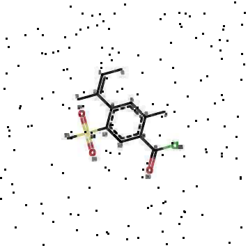 C/C=C(/C)c1cc(C)c(C(=O)Cl)cc1S(C)(=O)=O